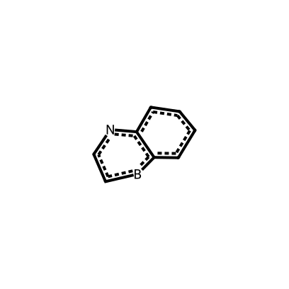 b1ccnc2ccccc12